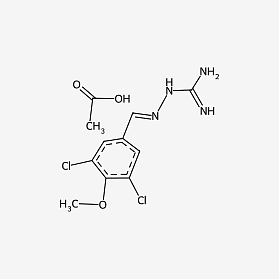 CC(=O)O.COc1c(Cl)cc(C=NNC(=N)N)cc1Cl